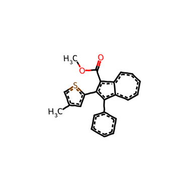 COC(=O)c1c2cccccc-2c(-c2ccccc2)c1-c1cc(C)cs1